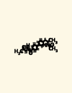 CC(=O)NC(C)Cc1ccc(-c2ccc(C(=O)NCC(C)C)cc2)cc1